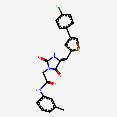 Cc1cccc(NC(=O)CN2C(=O)N/C(=C\c3cc(-c4ccc(Cl)cc4)cs3)C2=O)c1